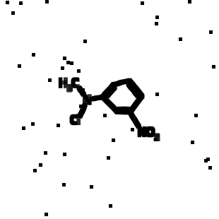 CN(Cl)c1cccc([N+](=O)[O-])c1